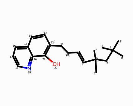 CC(C)(C)CC(C)(C)C=CCCc1ccc2cccnc2c1O